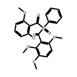 COc1ccc(OC)c(C(=O)P(=O)(C(=O)c2c(Cl)cccc2OC)c2ccccc2)c1OC